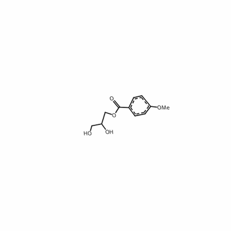 COc1ccc(C(=O)OCC(O)CO)cc1